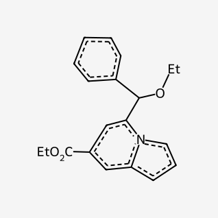 CCOC(=O)c1cc(C(OCC)c2ccccc2)n2cccc2c1